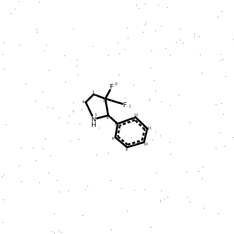 FC1(F)CCNC1c1ccccc1